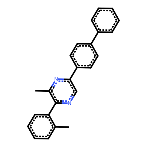 Cc1ccccc1-c1ncc(-c2ccc(-c3ccccc3)cc2)nc1C